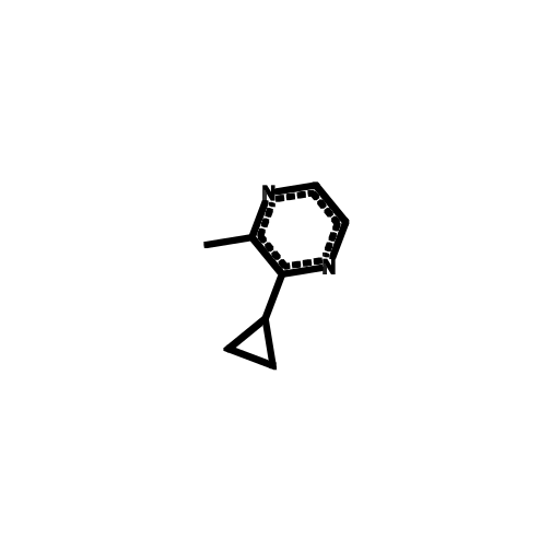 Cc1nccnc1C1CC1